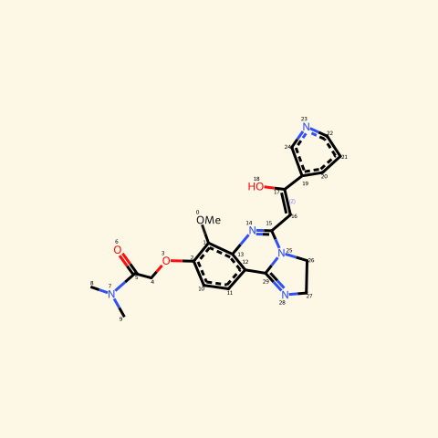 COc1c(OCC(=O)N(C)C)ccc2c1N=C(/C=C(\O)c1cccnc1)N1CCN=C21